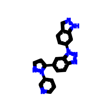 c1cncc(-n2nccc2-c2ccc3nnn(-c4ccc5cn[nH]c5c4)c3c2)c1